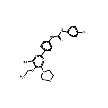 CCOc1c(C)nc(-c2ccc(NC(=O)Nc3ccc(C)cc3)cc2)nc1N1CCOCC1